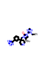 CCCCc1cn(-c2ncnn2CC(C)C)c(=O)n1CC1(c2cccc(-c3nnn[nH]3)c2)C=CN=CC1